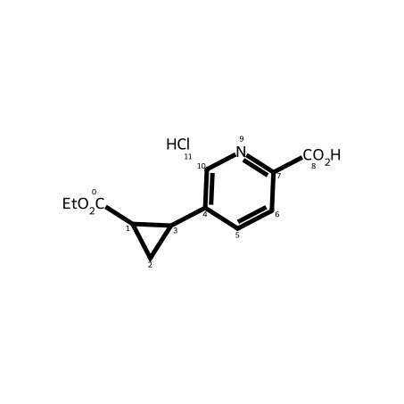 CCOC(=O)C1CC1c1ccc(C(=O)O)nc1.Cl